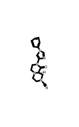 N#CN1CCN2CCN(c3cn(-c4ccccc4)cn3)C(=O)[C@H]2C1